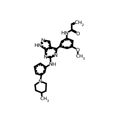 C=CC(=O)Nc1cc(OC)cc(-c2nc(Nc3cccc(N4CCC(C)CC4)c3)nc3[nH]ncc23)c1